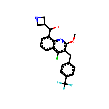 COc1nc2c(C(O)C3CNC3)cccc2c(Cl)c1Cc1ccc(C(F)(F)F)cc1